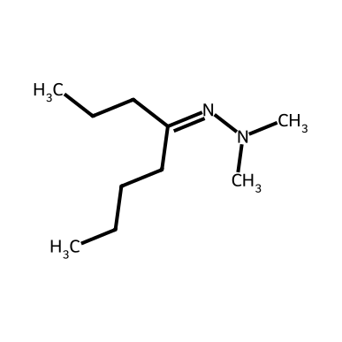 CCCC/C(CCC)=N\N(C)C